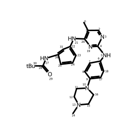 Cc1cnc(Nc2ccc(N3CCN(C)CC3)cc2)nc1Nc1cccc(NC(=O)C(C)(C)C)c1